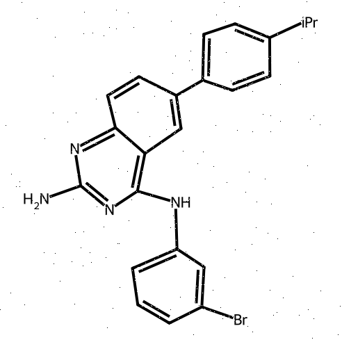 CC(C)c1ccc(-c2ccc3nc(N)nc(Nc4cccc(Br)c4)c3c2)cc1